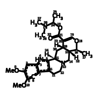 COc1cc2[nH]c3c(c2cc1OC)CCN1C[C@H]2[C@H](C)OC=C(C(=O)OC(C)N(C)C)[C@H]2C[C@H]31